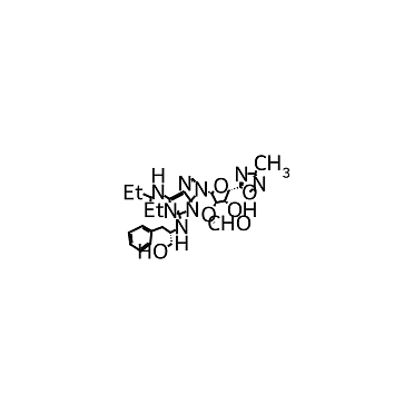 CCC(CC)Nc1nc(N[C@H](CO)Cc2ccccc2)nc2c1ncn2[C@@H]1O[C@H](c2nc(C)no2)[C@@H](O)[C@H]1OC=O